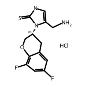 Cl.NCC1=C[N]C(=S)N1[C@H]1COc2c(F)cc(F)cc2C1